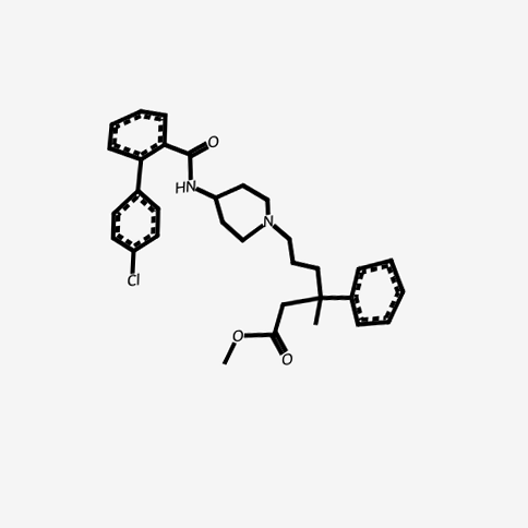 COC(=O)CC(C)(CCCN1CCC(NC(=O)c2ccccc2-c2ccc(Cl)cc2)CC1)c1ccccc1